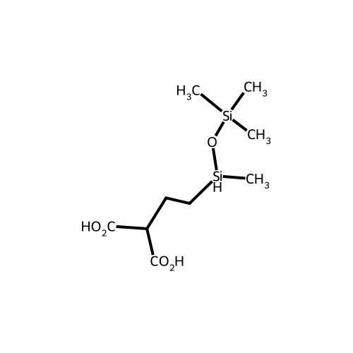 C[SiH](CCC(C(=O)O)C(=O)O)O[Si](C)(C)C